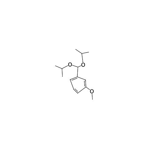 COc1cccc(C(OC(C)C)OC(C)C)c1